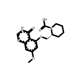 COc1cc(OC[C@H]2CCCCN2C(=O)O)c2c(=O)[nH]cnc2c1